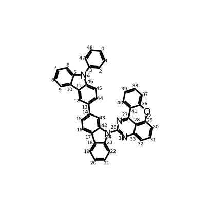 c1ccc(-n2c3ccccc3c3cc(-c4ccc5c6ccccc6n(-c6nc7c8c(cccc8n6)Oc6ccccc6-7)c5c4)ccc32)cc1